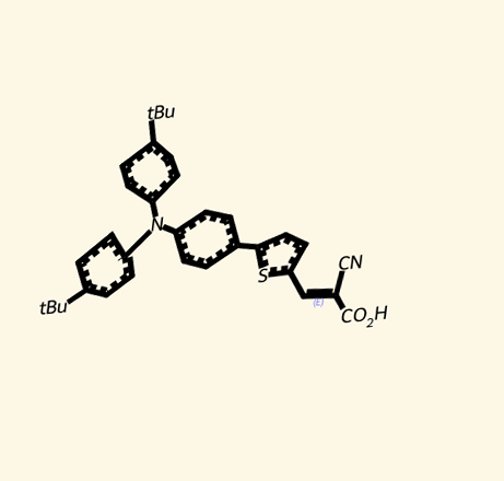 CC(C)(C)c1ccc(N(c2ccc(-c3ccc(/C=C(\C#N)C(=O)O)s3)cc2)c2ccc(C(C)(C)C)cc2)cc1